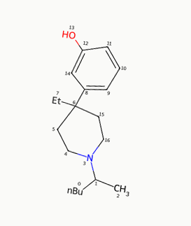 CCCCC(C)N1CCC(CC)(c2cccc(O)c2)CC1